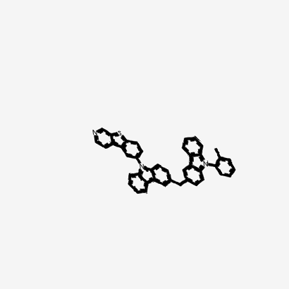 Cc1ccccc1-n1c2ccccc2c2cc(Cc3ccc4c(c3)c3ccccc3n4-c3ccc4sc5cnccc5c4c3)ccc21